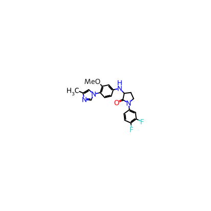 COc1cc(NC2CCN(c3ccc(F)c(F)c3)C2=O)ccc1-n1cnc(C)c1